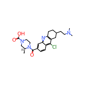 C[C@H]1CN(C(=O)O)CCN1C(=O)c1ccc2c(Cl)c3c(nc2c1)CCC(CCN(C)C)C3